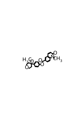 COC1(c2ccc3c(c2)OC(c2ccc4c(ccc(=O)n4C)c2)O3)CCOCC1